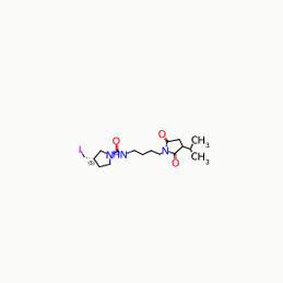 CC(C)C1CC(=O)N(CCCCNC(=O)N2CC[C@H](CI)C2)C1=O